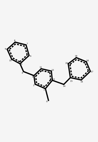 Cc1cc(Cc2ccccc2)ccc1Cc1ccccc1